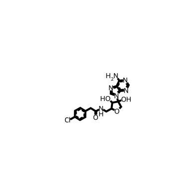 Nc1ncnc2c1ncn2C1(O)COC(CNC(=O)Cc2ccc(Cl)cc2)C1O